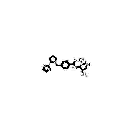 CC1CNN(C)C1NC(=O)c1ccc(CN2CCC[C@H]2c2nccs2)cc1